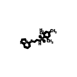 Cc1cc(C)c(S(=O)(=O)NCCSc2cccc3nccn23)c(C)c1